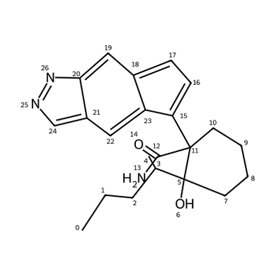 CCCC(C)C1(O)CCCCC1(C(N)=O)C1=CC=c2cc3c(cc21)=CN=N3